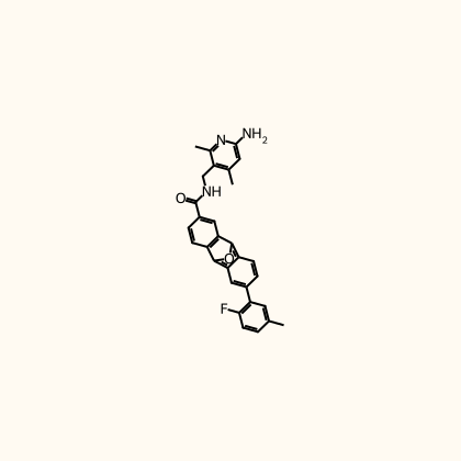 Cc1ccc(F)c(-c2ccc3c(c2)c2oc3c3cc(C(=O)NCc4c(C)cc(N)nc4C)ccc32)c1